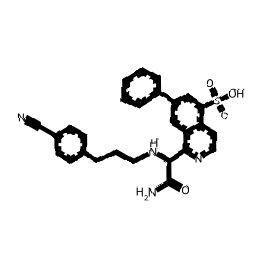 N#Cc1ccc(CCCNC(C(N)=O)c2nccc3c(S(=O)(=O)O)cc(-c4ccccc4)cc23)cc1